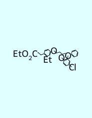 CCOC(=O)CCc1ccc(OCCC(C)Oc2ccc(Cl)cc2Oc2ccccc2)cc1CC